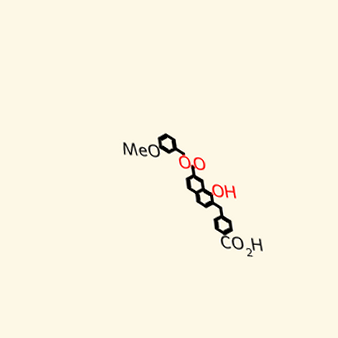 COc1cccc(COC(=O)c2ccc3ccc(Cc4ccc(C(=O)O)cc4)c(O)c3c2)c1